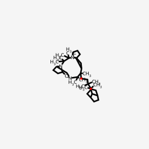 CC(C)C1C2CCC1CC(C(C)(C)CCC1(C)C3CC4CCC(C3)N4C(C)(C)C(C)(C)N3C4CCC3CN(C4)C1(C)C)C2